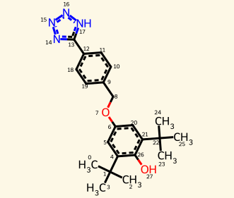 CC(C)(C)c1cc(OCc2ccc(-c3nnn[nH]3)cc2)cc(C(C)(C)C)c1O